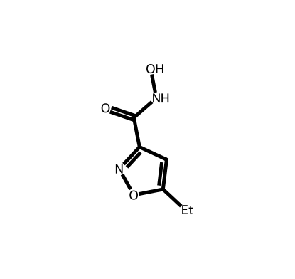 [CH2]Cc1cc(C(=O)NO)no1